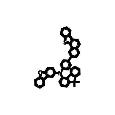 CC1(C)c2ccccc2-c2c(N(c3ccc(-c4ccc5ccc6c7ccccc7sc6c5c4)cc3)c3ccc4oc5ccccc5c4c3)cccc21